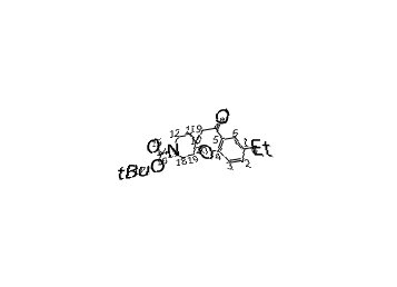 CCc1ccc2c(c1)C(=O)CC1(CCN(C(=O)OC(C)(C)C)CC1)O2